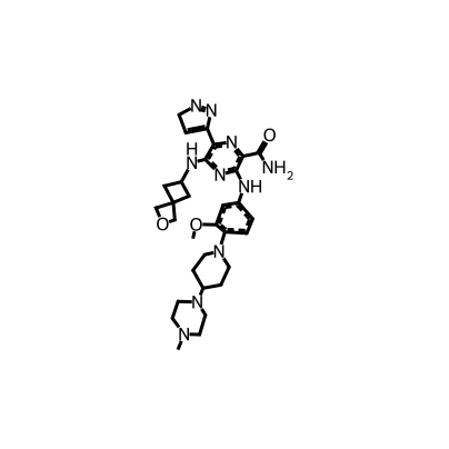 COc1cc(Nc2nc(NC3CC4(COC4)C3)c(C3=CCN=N3)nc2C(N)=O)ccc1N1CCC(N2CCN(C)CC2)CC1